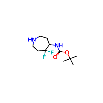 CC(C)(C)OC(=O)NC1CCNCCC1(F)F